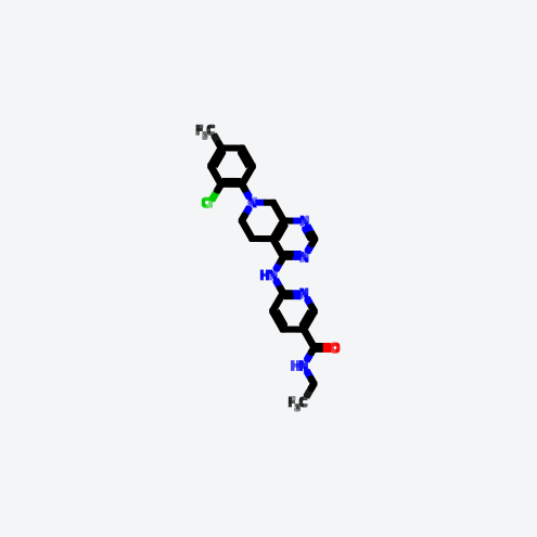 O=C(NCC(F)(F)F)c1ccc(Nc2ncnc3c2CCN(c2ccc(C(F)(F)F)cc2Cl)C3)nc1